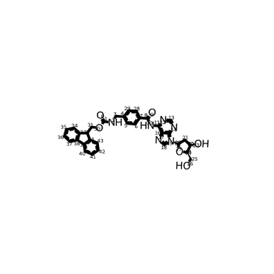 O=C(NCc1ccc(C(=O)Nc2ncnc3c2ncn3[C@H]2C[C@@H](O)[C@@H](CO)O2)cc1)OCC1c2ccccc2-c2ccccc21